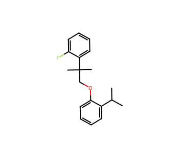 CC(C)c1ccccc1OCC(C)(C)c1ccccc1F